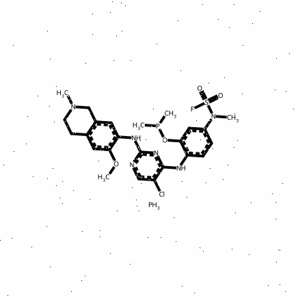 COc1cc2c(cc1Nc1ncc(Cl)c(Nc3ccc(N(C)S(=O)(=O)F)cc3OP(C)C)n1)CN(C)CC2.P